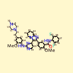 COc1cc(CCN2CCN(C)CC2)ccc1Nc1nccc(-c2c(-c3ccc(OC)c(C(=O)Nc4c(F)cccc4F)c3)nc3ccccn23)n1